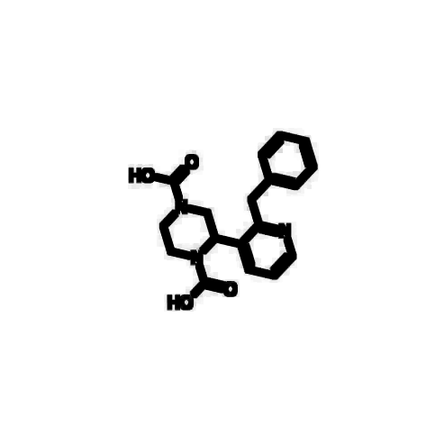 O=C(O)N1CCN(C(=O)O)C(c2cccnc2Cc2ccccc2)C1